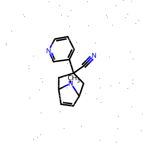 CN1C2C=CC1CC(C#N)(c1cccnc1)C2